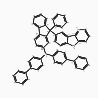 c1ccc(-c2ccc(N(c3ccc(-c4ccccc4)cc3)c3ccc4c(c3)C(c3ccccc3)(c3ccc5oc6cccnc6c5c3)c3ccccc3-4)cc2)cc1